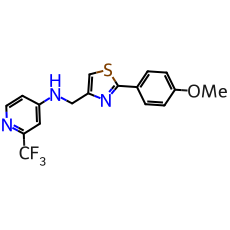 COc1ccc(-c2nc(CNc3ccnc(C(F)(F)F)c3)cs2)cc1